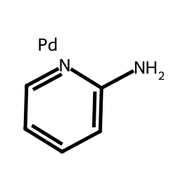 Nc1ccccn1.[Pd]